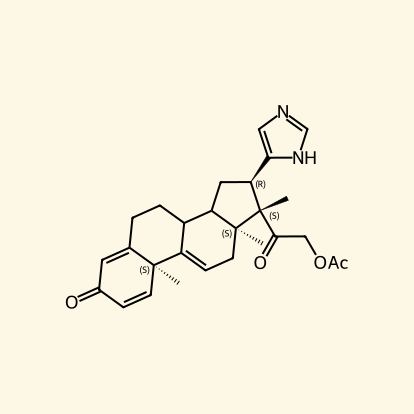 CC(=O)OCC(=O)[C@@]1(C)[C@H](c2cnc[nH]2)CC2C3CCC4=CC(=O)C=C[C@]4(C)C3=CC[C@@]21C